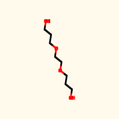 OCCCOCCOCCCO